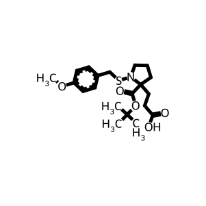 COc1ccc(CSN2CCCC2(CCC(=O)O)C(=O)OC(C)(C)C)cc1